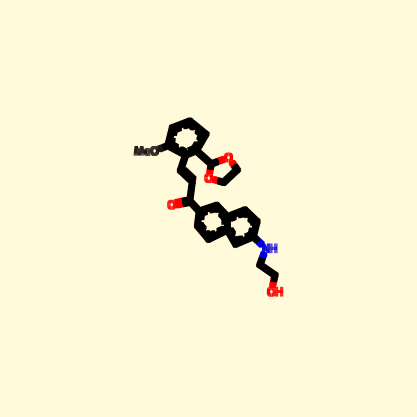 COc1cccc(C2OCCO2)c1C=CC(=O)c1ccc2cc(NCCO)ccc2c1